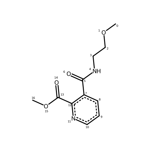 COCCNC(=O)c1cccnc1C(=O)OC